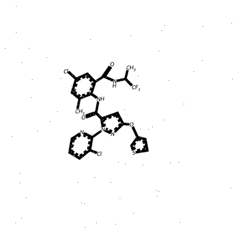 Cc1cc(Cl)cc(C(=O)NC(C)C(F)(F)F)c1NC(=O)c1cc(Oc2ccsc2)nn1-c1ncccc1Cl